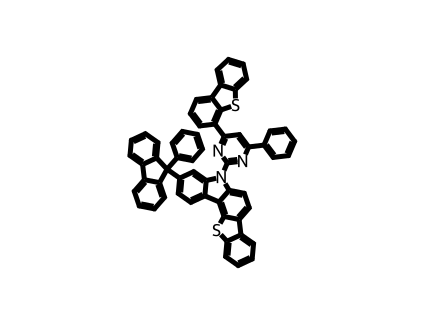 c1ccc(-c2cc(-c3cccc4c3sc3ccccc34)nc(-n3c4cc(C5(c6ccccc6)c6ccccc6-c6ccccc65)ccc4c4c5sc6ccccc6c5ccc43)n2)cc1